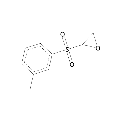 Cc1cccc(S(=O)(=O)C2CO2)c1